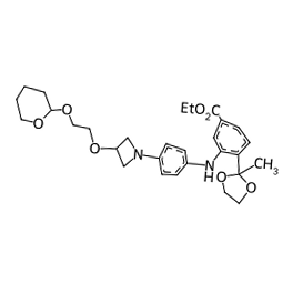 CCOC(=O)c1ccc(C2(C)OCCO2)c(Nc2ccc(N3CC(OCCOC4CCCCO4)C3)cc2)c1